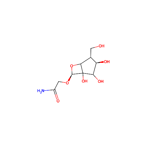 NC(=O)CO[C@H]1OC2C(CO)[C@@H](O)C(O)C21O